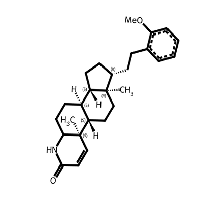 COc1ccccc1CC[C@H]1CC[C@H]2[C@@H]3CCC4NC(=O)C=C[C@]4(C)[C@H]3CC[C@]12C